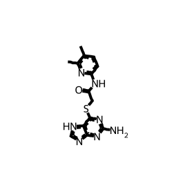 Cc1ccc(NC(=O)CSc2nc(N)nc3nc[nH]c23)nc1C